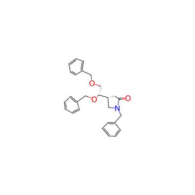 O=C1C[C@@H]([C@@H](COCc2ccccc2)OCc2ccccc2)CN1Cc1ccccc1